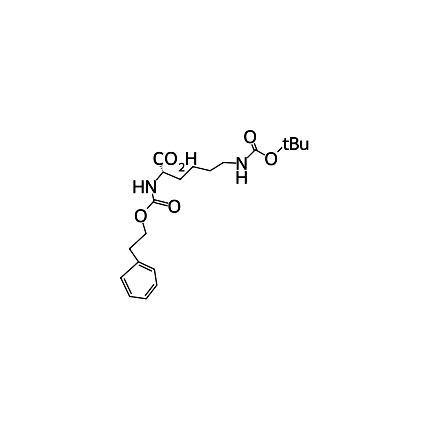 CC(C)(C)OC(=O)NCCCC[C@H](NC(=O)OCCc1ccccc1)C(=O)O